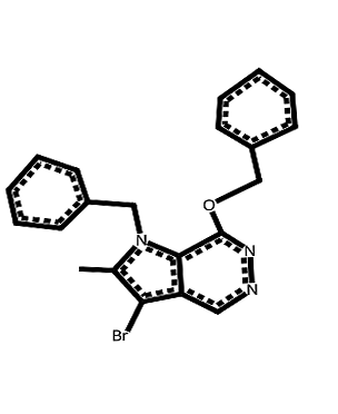 Cc1c(Br)c2cnnc(OCc3ccccc3)c2n1Cc1ccccc1